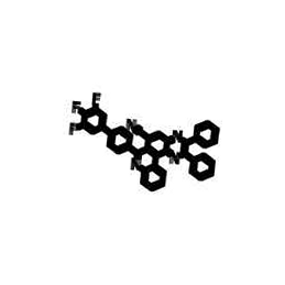 N#Cc1cc2nc(-c3ccccc3)c(-c3ccccc3)nc2c2c1c(-c1ccc(-c3cc(F)c(F)c(F)c3)cc1)nc1ccccc12